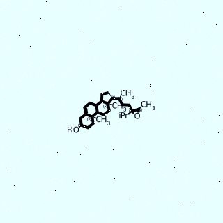 CC(C)[C@]1(CC[C@@H](C)[C@H]2CCC3C4CC=C5C[C@@H](O)CC[C@]5(C)C4CC[C@@]32C)O[C@H]1C